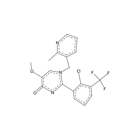 COc1cn(Cc2cccnc2C)c(-c2cccc(C(F)(F)F)c2Cl)nc1=O